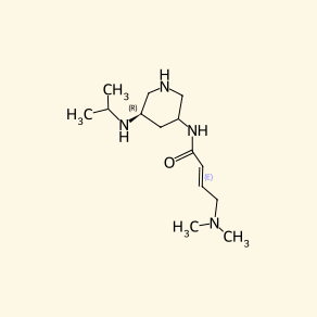 CC(C)N[C@H]1CNCC(NC(=O)/C=C/CN(C)C)C1